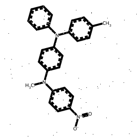 Cc1ccc(N(c2ccccc2)c2ccc(N(C)c3ccc([N+](=O)[O-])cc3)cc2)cc1